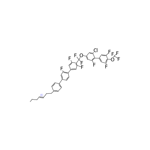 CCC/C=C/CCc1ccc(-c2ccc(-c3cc(F)c(C(F)(F)Oc4cc(F)c(-c5cc(F)c(OC(F)(F)F)c(F)c5)c(Cl)c4)c(F)c3)c(F)c2)cc1